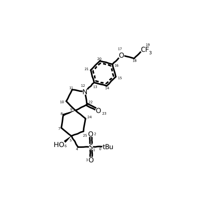 CC(C)(C)S(=O)(=O)C[C@]1(O)CC[C@]2(CCN(c3ccc(OCC(F)(F)F)cc3)C2=O)CC1